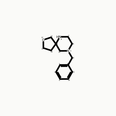 c1ccc(CN2CCNC3(CCOC3)C2)cc1